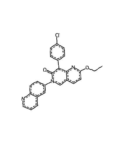 CCOc1ccc2cn(-c3ccc4ncccc4c3)c(=O)c(-c3ccc(Cl)cc3)c2n1